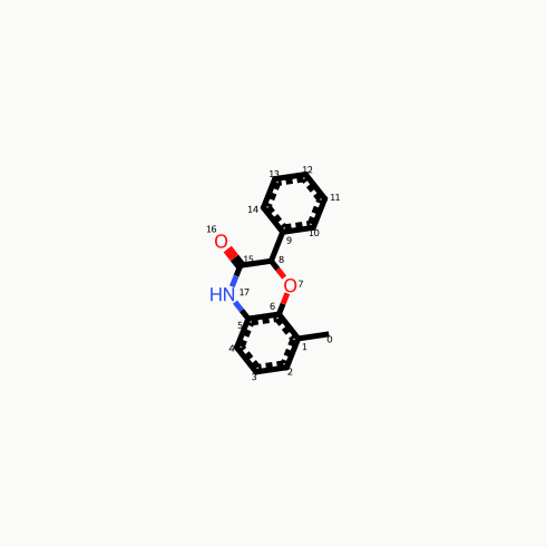 Cc1cccc2c1OC(c1ccccc1)C(=O)N2